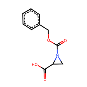 O=C(O)C1CN1C(=O)OCc1ccccc1